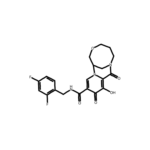 O=C(NCc1ccc(F)cc1F)c1cn2c(c(O)c1=O)C(=O)N1CCCOCC2C1